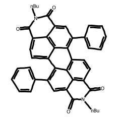 CCCCN1C(=O)c2ccc3c4c(-c5ccccc5)cc5c6c(ccc(c7c(-c8ccccc8)cc(c2c37)C1=O)c64)C(=O)N(CCCC)C5=O